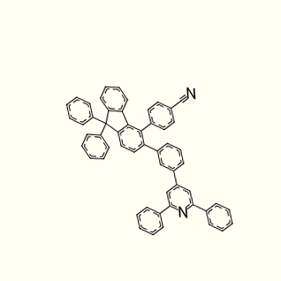 N#Cc1ccc(-c2c(-c3cccc(-c4cc(-c5ccccc5)nc(-c5ccccc5)c4)c3)ccc3c2-c2ccccc2C3(c2ccccc2)c2ccccc2)cc1